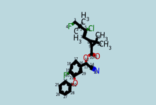 CC(C)(CF)C(Cl)=CC1C(C(=O)OC(C#N)c2ccc(F)c(Oc3ccccc3)c2)C1(C)C